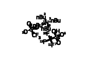 CCCC[N+](CCCC)(CCCC)CCCC.O=S(=O)(O)C(F)(F)F.O=S(=O)([O-])C(F)(F)F